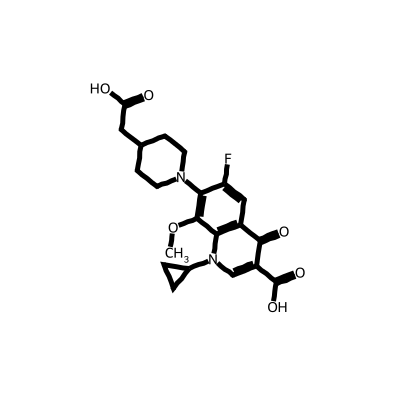 COc1c(N2CCC(CC(=O)O)CC2)c(F)cc2c(=O)c(C(=O)O)cn(C3CC3)c12